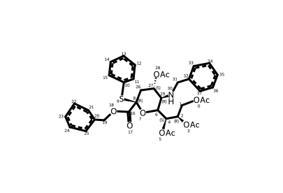 CC(=O)OC[C@@H](OC(C)=O)[C@@H](OC(C)=O)C1O[C@](Sc2ccccc2)(C(=O)OCc2ccccc2)C[C@H](OC(C)=O)[C@H]1NCc1ccccc1